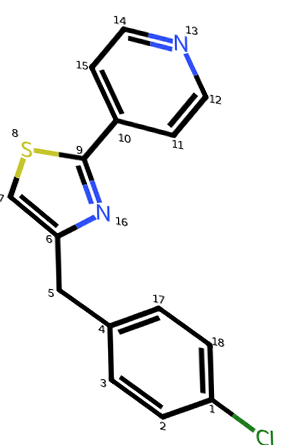 Clc1ccc(Cc2csc(-c3ccncc3)n2)cc1